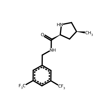 C[C@@H]1CN[C@H](C(=O)NCc2cc(C(F)(F)F)cc(C(F)(F)F)c2)C1